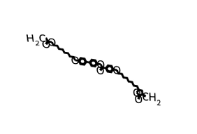 C=CC(=O)OCCCCCCCCOc1ccc(-c2ccc(OC(=O)c3ccc(OCCCCCCCCC4CC(=C)C(=O)O4)cc3)cc2)cc1